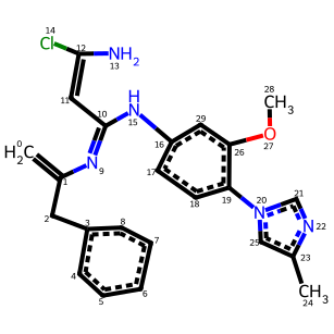 C=C(Cc1ccccc1)/N=C(\C=C(/N)Cl)Nc1ccc(-n2cnc(C)c2)c(OC)c1